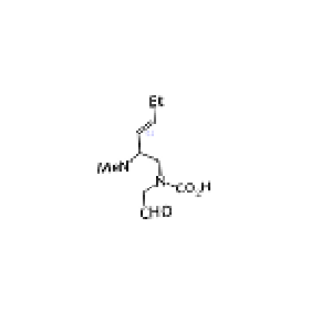 CC/C=C/C(CN(CC=O)C(=O)O)NC